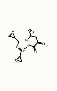 C(OCC1CO1)C1CO1.C=C(CC(C)O)C(=O)OC